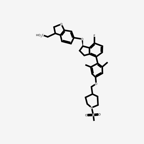 Cc1cc(OCC2CCN(S(C)(=O)=O)CC2)cc(C)c1-c1ccc(F)c2c1CC[C@H]2Oc1ccc2c(c1)OCC2CC(=O)O